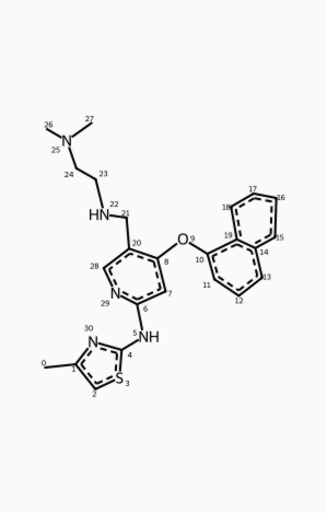 Cc1csc(Nc2cc(Oc3cccc4ccccc34)c(CNCCN(C)C)cn2)n1